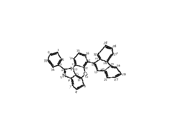 c1ccc(-c2nc3cccc4c3n2-c2cccc(-c3cc5ccccc5c5ccccc35)c2O4)cc1